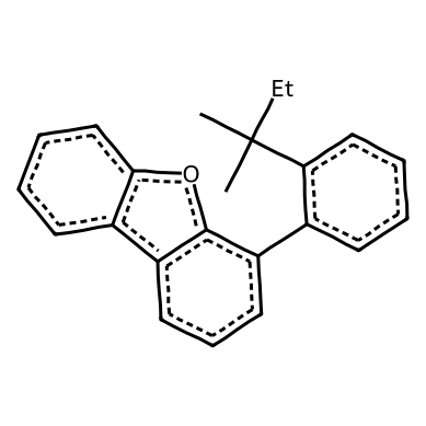 CCC(C)(C)c1ccccc1-c1cccc2c1oc1ccccc12